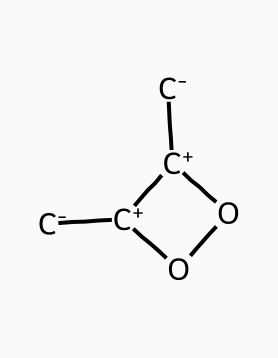 [CH2-][C+]1OO[C+]1[CH2-]